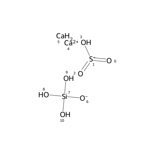 O=[S-](=O)O.[Ca+2].[CaH2].[O-][Si](O)(O)O